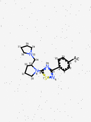 CC(=O)c1ccc(-c2nsc(N3CCC[C@H]3CN3CCCC3)n2)cc1